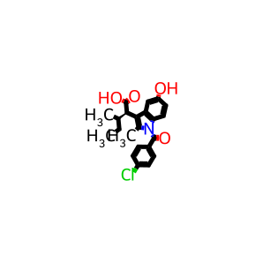 CCC(C)[C@@H](C(=O)O)c1c(C)n(C(=O)c2ccc(Cl)cc2)c2ccc(O)cc12